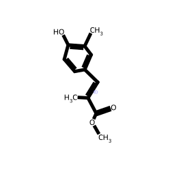 COC(=O)/C(C)=C/c1ccc(O)c(C)c1